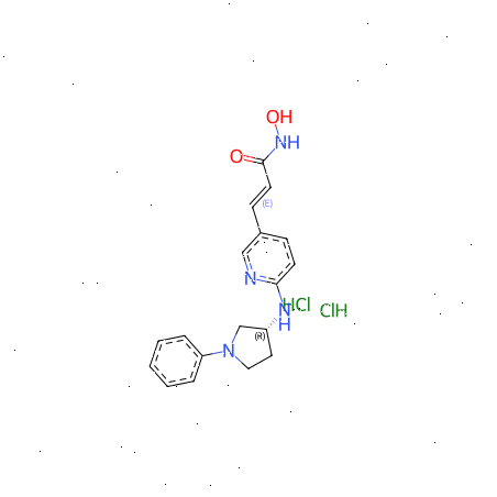 Cl.Cl.O=C(/C=C/c1ccc(N[C@@H]2CCN(c3ccccc3)C2)nc1)NO